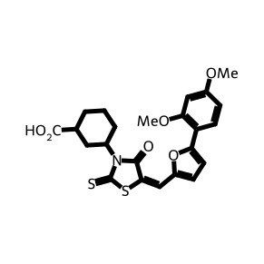 COc1ccc(-c2ccc(C=C3SC(=S)N(C4CCCC(C(=O)O)C4)C3=O)o2)c(OC)c1